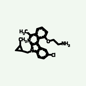 Cc1nc2c(c3cc(Cl)ccc3n2CC2CC2C)c2c(OCCN)cccc12